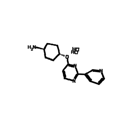 Cl.Cl.N[C@H]1CC[C@H](Oc2ccnc(-c3cccnc3)n2)CC1